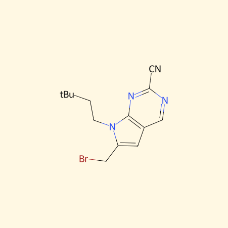 CC(C)(C)CCn1c(CBr)cc2cnc(C#N)nc21